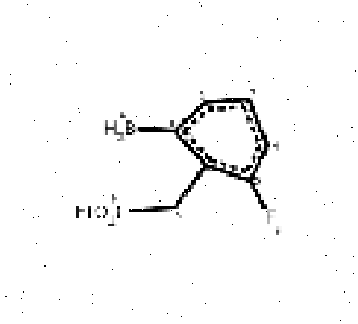 Bc1cccc(F)c1CC(=O)OCC